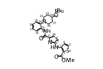 COC(=O)c1sccc1Nc1nc(C(=O)Nc2ccccc2N2CCC(OC(C)(C)C)CC2)cs1